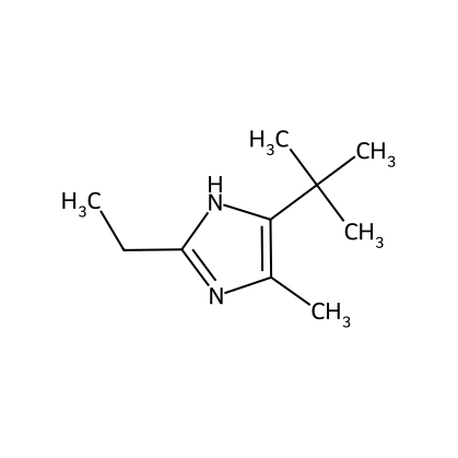 CCc1nc(C)c(C(C)(C)C)[nH]1